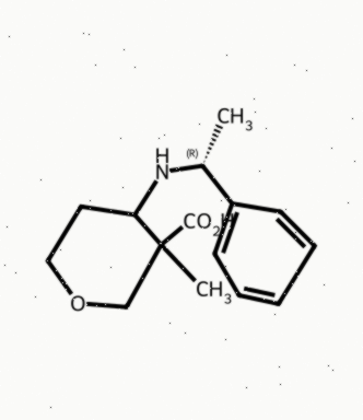 C[C@@H](NC1CCOCC1(C)C(=O)O)c1ccccc1